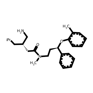 Cc1ccccc1O[C@H](CCN(C)C(=O)C[C@@H](CN)CC(C)C)c1ccccc1